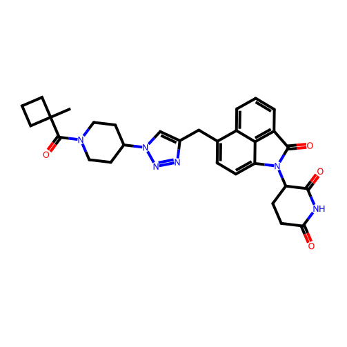 CC1(C(=O)N2CCC(n3cc(Cc4ccc5c6c(cccc46)C(=O)N5C4CCC(=O)NC4=O)nn3)CC2)CCC1